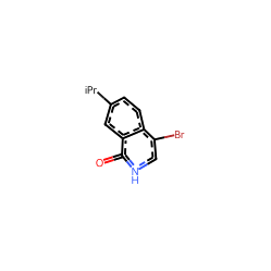 CC(C)c1ccc2c(Br)c[nH]c(=O)c2c1